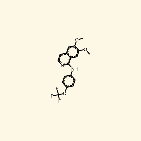 COc1cc2ccnc(Nc3ccc(OC(F)(F)F)cc3)c2cc1OC